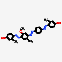 COc1cc(/N=N/c2ccc(/N=N/c3ccc(O)cc3C)cc2)c(C)cc1/N=N/c1ccc(O)cc1C